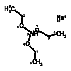 CC[O][AlH-]([O]CC)[O]CC.[Na+]